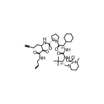 C#CCCC(NC(=O)[C@@H]1CCCN1C(=O)[C@@H](NC(=O)N[C@H](CN1CCCN(C)S1(=O)=O)C(C)(C)C)C1CCCCC1)C(=O)C(=O)NCC=C